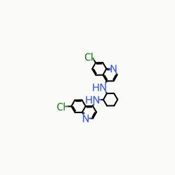 Clc1ccc2c(NC3CCCCC3Nc3ccnc4cc(Cl)ccc34)ccnc2c1